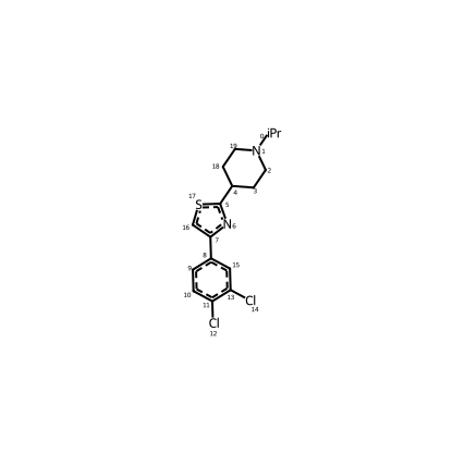 CC(C)N1CCC(c2nc(-c3ccc(Cl)c(Cl)c3)cs2)CC1